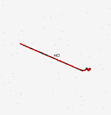 CCCCCCCCCCCCCCCCCCCCCCCCCCCCCCCCCCCCCCCCCCCCCCCCCCCCCCCCCCCCCCCCCCCCCCCCCCCCCCCCCCCCCCCCCCCCCCC(C)(C)C#CC=CCN(C)Cc1cccc2ccccc12.Cl